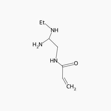 C=CC(=O)NCC(N)NCC